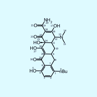 CCCCc1ccc(O)c2c1CC1CC3C(N(C)C)C(O)=C(C(N)=O)C(=O)[C@@]3(O)C(O)=C1C2=O